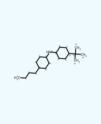 CCCCC1CCC(NC2CCC(C(C)(C)C)CC2)CC1